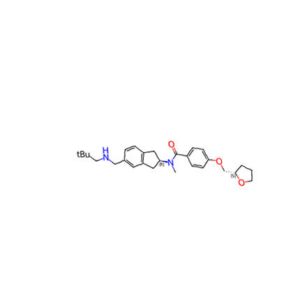 CN(C(=O)c1ccc(OC[C@@H]2CCCO2)cc1)[C@@H]1Cc2ccc(CNCC(C)(C)C)cc2C1